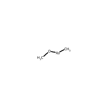 CO[As]C